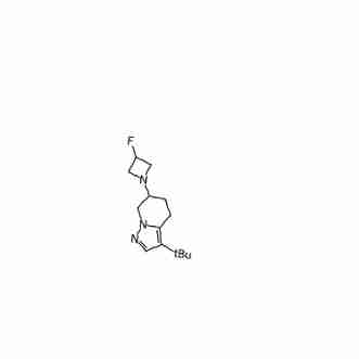 CC(C)(C)c1cnn2c1CCC(N1CC(F)C1)C2